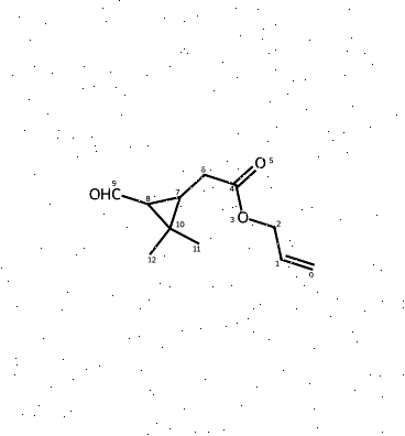 C=CCOC(=O)CC1C(C=O)C1(C)C